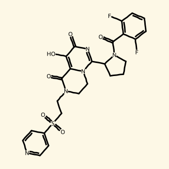 O=C1c2c(O)c(=O)nc(C3CCCN3C(=O)c3c(F)cccc3F)n2CCN1CCS(=O)(=O)c1ccncc1